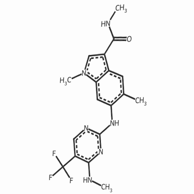 CNC(=O)c1cn(C)c2cc(Nc3ncc(C(F)(F)F)c(NC)n3)c(C)cc12